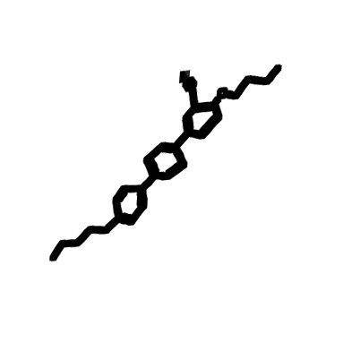 CCCCCc1ccc(-c2ccc(-c3ccc(OCCCC)c(C#N)c3)cc2)cc1